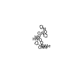 COC(=O)C(OC)c1cccc(NC(=O)NCC(=O)N(CC(=O)N(C)c2ccccc2)c2ccccc2)c1